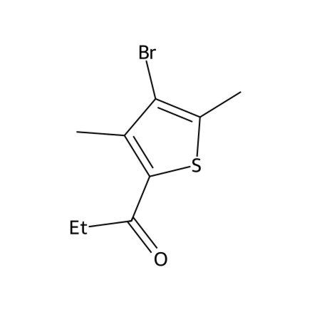 CCC(=O)c1sc(C)c(Br)c1C